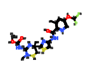 Cc1cc(OC(F)F)cnc1C(=O)Nc1csc([C@]2(C)CSN(C)C(NC(=O)OC(C)(C)C)=N2)n1